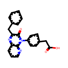 O=C(O)Cc1ccc(-n2c(=O)c(Cc3ccccc3)nc3cccnc32)cc1